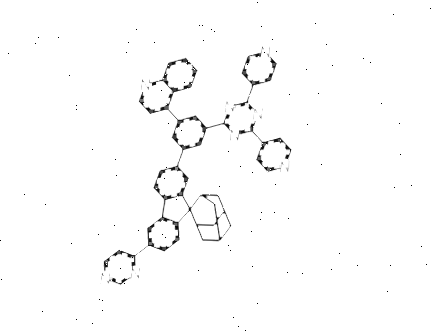 c1ccc2c(-c3cc(-c4ccc5c(c4)C4(c6ccc(-c7ccncn7)cc6-5)C5CC6CC(C5)CC4C6)cc(-c4nc(-c5ccncc5)nc(-c5ccncc5)n4)c3)ccnc2c1